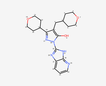 Oc1c(CC2CCOCC2)c(C2CCOCC2)nn1-c1nc2cccnc2[nH]1